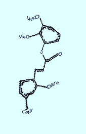 COc1ccc(C=CC(=O)Oc2cccc(OC)c2OC)c(OC)c1